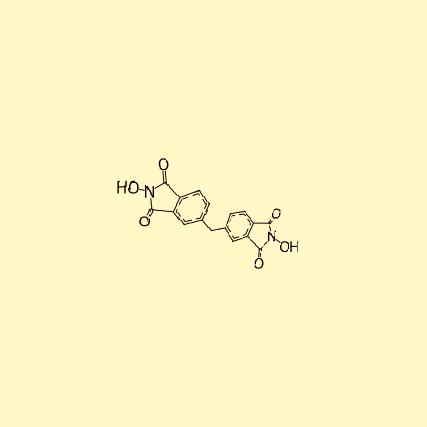 O=C1c2ccc(Cc3ccc4c(c3)C(=O)N(O)C4=O)cc2C(=O)N1O